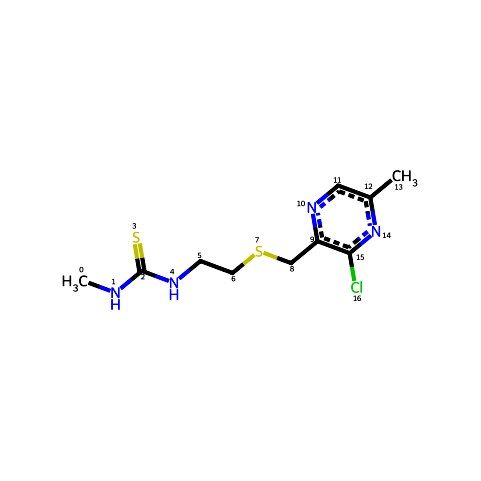 CNC(=S)NCCSCc1ncc(C)nc1Cl